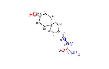 NC(=O)NN=CC1CCC2(CCC(O)CC2)CC1